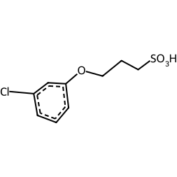 O=S(=O)(O)CCCOc1cccc(Cl)c1